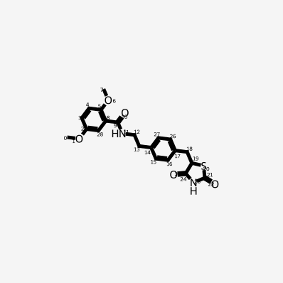 COc1ccc(OC)c(C(=O)NCCc2ccc(CC3SC(=O)NC3=O)cc2)c1